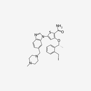 C[C@@H](Oc1cc(-n2cnc3ccc(CN4CCN(C)CC4)cc32)sc1C(N)=O)c1ccccc1CI